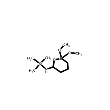 CO[Si]1(OC)CCCC(N[Si](C)(C)C)O1